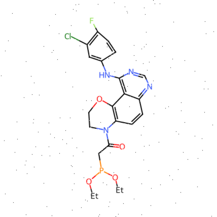 CCOP(CC(=O)N1CCOc2c1ccc1ncnc(Nc3ccc(F)c(Cl)c3)c21)OCC